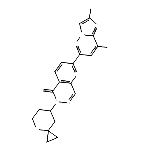 Cc1cn2nc(-c3ccc4c(=O)n(C5CCNC6(CC6)C5)ncc4n3)cc(C)c2n1